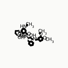 CCNc1cc(C(=O)N[C@@H](Cc2ccccc2)[C@@H](O)CNCc2ccc(OC)c(OCC)c2)cc(N2CCCCS2(O)O)c1